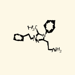 CC1N(CCc2ccccc2)N=C(CCN)N1c1ccccc1